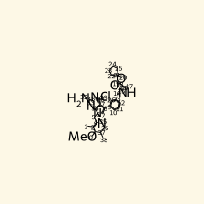 COC1C(C)=C(Cn2cc(-c3cccc(CN[C@@H](C)C(=O)OC4CCCC4)c3)c3c(Cl)nc(N)nc32)N=CC1C